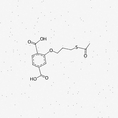 CC(=O)SCCCOc1cc(C(=O)O)ccc1C(=O)O